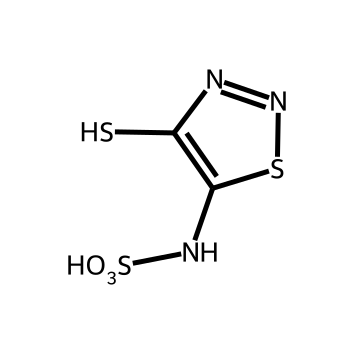 O=S(=O)(O)Nc1snnc1S